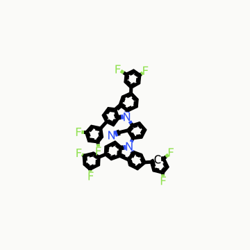 N#Cc1c(-n2c3ccc(-c4cc(F)cc(F)c4)cc3c3ccc(-c4cc(F)cc(F)c4)cc32)cccc1-n1c2ccc(-c3cc(F)cc(F)c3)cc2c2ccc(-c3cc(F)cc(F)c3)cc21